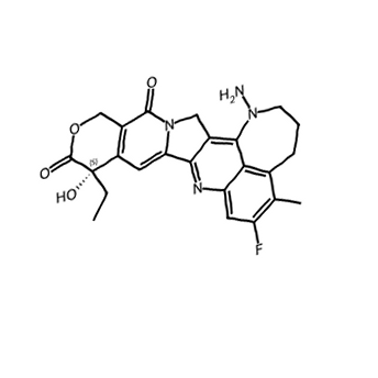 CC[C@@]1(O)C(=O)OCc2c1cc1n(c2=O)Cc2c-1nc1cc(F)c(C)c3c1c2N(N)CCC3